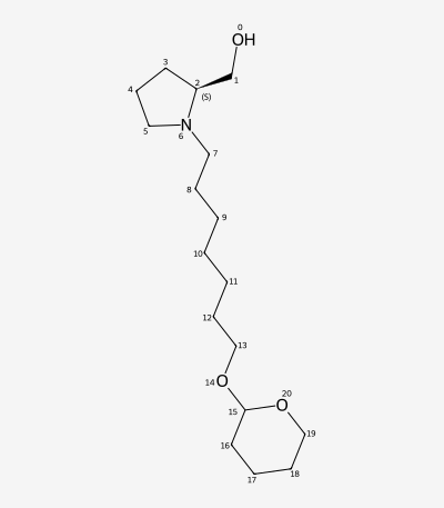 OC[C@@H]1CCCN1CCCCCCCOC1CCCCO1